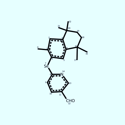 Cc1cc2c(cc1[Se]c1ccc(C=O)cn1)C(C)(C)CCC2(C)C